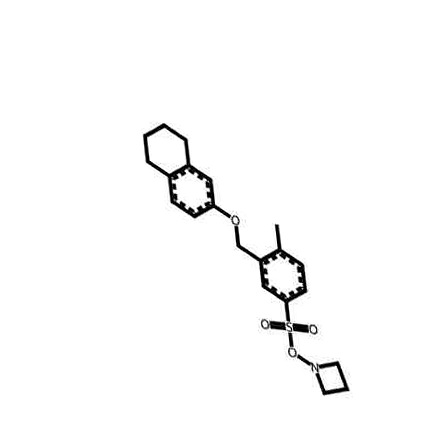 Cc1ccc(S(=O)(=O)ON2CCC2)cc1COc1ccc2c(c1)CCCC2